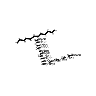 CCCCCCCC.CCCCCCCCC.CCCCCCCCCC.CCCCCCCCCC.CCCCCCCCCC.CCCCCCCCCC.CCCCCCCCCC.CCCCCCCCCC.CCCCCCCCCC.CCCCCCCCCC.CCCCCCCCCC.CCCCCCCCCC.CCCCCCCCCC.CCCCCCCCCC.CCCCCCCCCCCC